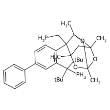 CC12CC3(C)OC(C)(CC(C)(O1)C3(CP)c1ccc(-c3ccccc3)cc1C(P)(C(C)(C)C)C(C)(C)C)O2